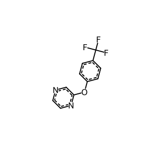 FC(F)(F)c1ccc(Oc2cnccn2)cc1